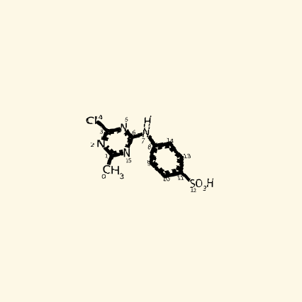 Cc1nc(Cl)nc(Nc2ccc(S(=O)(=O)O)cc2)n1